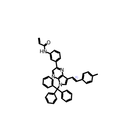 C=CC(=O)Nc1cccc(-c2cnc3c(n2)c(/C=C/c2ccc(C)cc2)cn3C(c2ccccc2)(c2ccccc2)c2ccccc2)c1